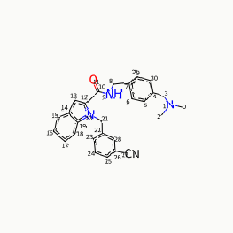 CN(C)Cc1ccc(CNC(=O)c2cc3ccccc3n2Cc2cccc(C#N)c2)cc1